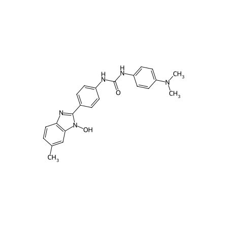 Cc1ccc2nc(-c3ccc(NC(=O)Nc4ccc(N(C)C)cc4)cc3)n(O)c2c1